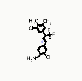 Cc1cc(C(/C=C/c2ccc(CN)c(Cl)c2)C(F)(F)F)cc(Cl)c1C